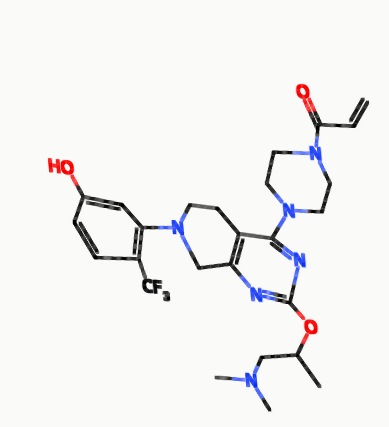 C=CC(=O)N1CCN(c2nc(OC(C)CN(C)C)nc3c2CCN(c2cc(O)ccc2C(F)(F)F)C3)CC1